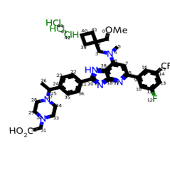 COCC1(CN(C)c2cc(-c3cc(F)cc(C(F)(F)F)c3)nc3nc(-c4ccc(C(C)N5CCN(CC(=O)O)CC5)cc4)[nH]c23)CCC1.Cl.Cl.Cl